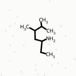 CCC(N)CC(C)C(C)C